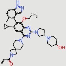 C=CC(=O)N1CC2(CCN(c3nc(N4CC[C@H](N5CCC(O)CC5)C4)nc4c(OCC(F)(F)F)c(-c5c(C)ccc6[nH]ncc56)c(C5CC5)cc34)CC2)C1